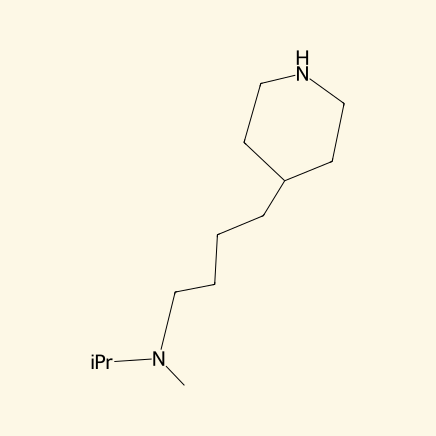 CC(C)N(C)CCCCC1CCNCC1